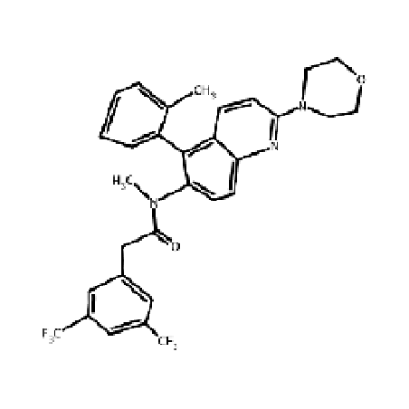 Cc1ccccc1-c1c(N(C)C(=O)Cc2cc(C(F)(F)F)cc(C(F)(F)F)c2)ccc2nc(N3CCOCC3)ccc12